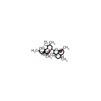 CC(CC(=O)[C@H]1O[C@@H]2O[C@]3(C)CC[C@H]4[C@H](C)CC[C@@H]([C@H]1C)[C@@]24OO3)[C@H](C)[C@@H]1CC[C@@H](C)[C@@H]2CC[C@]3(C)OO[C@]21[C@H](O)O3